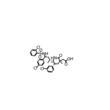 CC(C[C@H](NS(=O)(=O)c1ccccc1Cl)c1ccc(Cl)cc1)[C@@H]1NC(=O)[C@](C)(CC(=O)O)C[C@@H]1c1cccc(Cl)c1